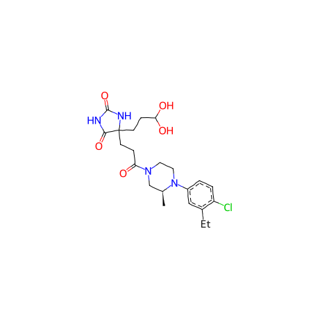 CCc1cc(N2CCN(C(=O)CCC3(CCC(O)O)NC(=O)NC3=O)C[C@@H]2C)ccc1Cl